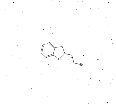 BrCCC1Cc2ccccc2O1